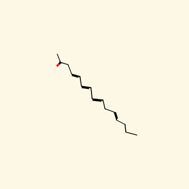 CCC/C=C/C/C=C/C=C/C=C/CC(C)=O